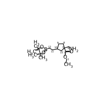 CCOC(=O)C1(CN)CCC(CCB2OC(C)(C)C(C)(C)O2)C1